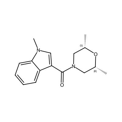 C[C@@H]1CN(C(=O)c2cn(C)c3ccccc23)C[C@H](C)O1